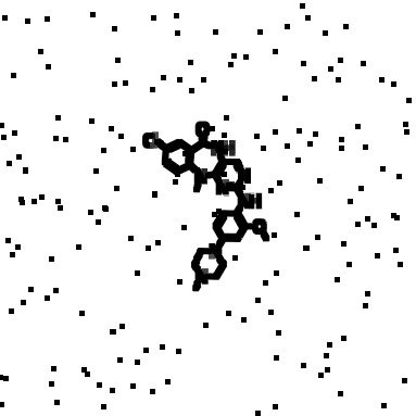 COc1cc(N2CCN(C)CC2)ccc1Nc1ncc2c(n1)N(C)c1ccc(Cl)cc1C(=O)N2